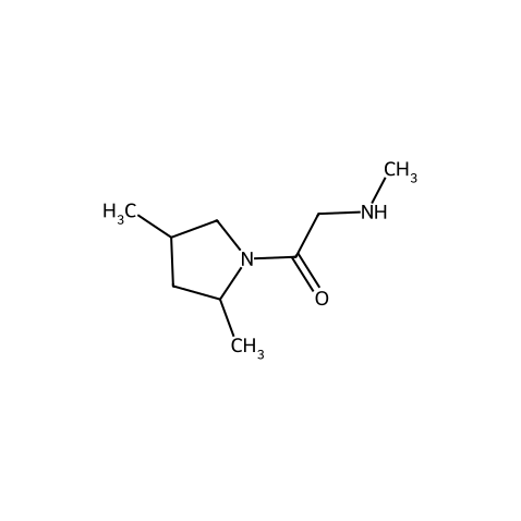 CNCC(=O)N1CC(C)CC1C